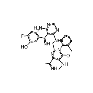 CNc1c(C(C)=N)nc(CNc2ncnc(N)c2C(=N)c2ccc(F)c(O)c2)n(-c2ccccc2C)c1=O